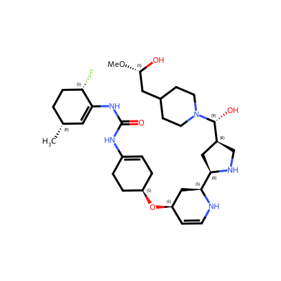 CO[C@H](O)CC1CCN([C@H](O)[C@H]2CN[C@@H]([C@@H]3C[C@H](O[C@@H]4CC=C(NC(=O)NC5=C[C@H](C)CC[C@@H]5F)CC4)C=CN3)C2)CC1